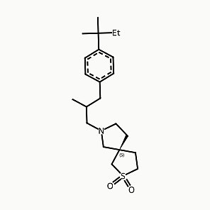 CCC(C)(C)c1ccc(CC(C)CN2CC[C@]3(CCS(=O)(=O)C3)C2)cc1